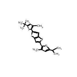 Cc1cc(C(C)C)sc1-c1cc2sc(-c3sc(C(C)(C)C)cc3C)cc2s1